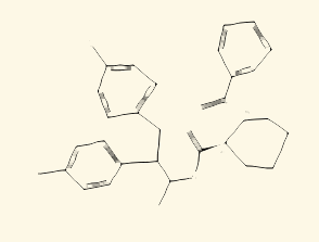 CC(NC(=O)[C@@H]1CCCC[C@H]1C(=O)c1ccccc1)C(Cc1ccc(Cl)cc1)c1ccc(Cl)cc1